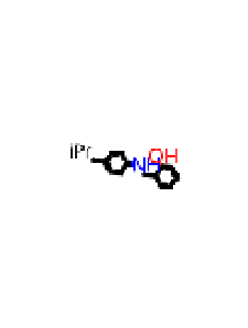 CC(C)Cc1ccc(NCc2ccccc2O)cc1